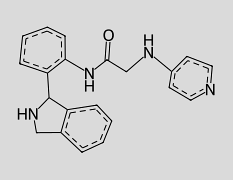 O=C(CNc1ccncc1)Nc1ccccc1C1NCc2ccccc21